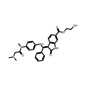 CN(C)CC(=O)N(C)c1ccc(NC(=C2C(=O)Nc3cc(C(=O)OCCO)ccc32)c2ccccc2)cc1